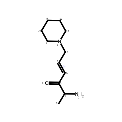 CC(N)C(=O)/C=C/CN1CCCCC1